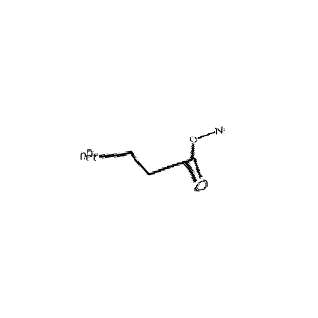 CCCCCC(=O)O[N]